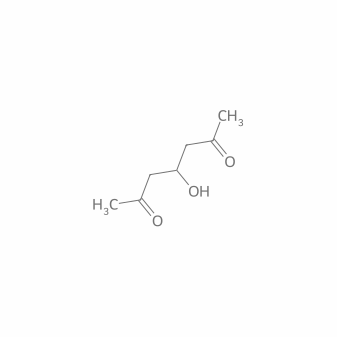 CC(=O)CC(O)CC(C)=O